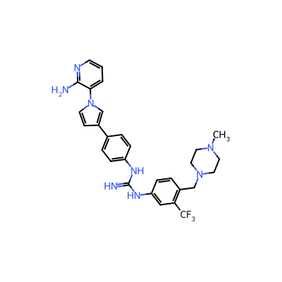 CN1CCN(Cc2ccc(NC(=N)Nc3ccc(-c4ccn(-c5cccnc5N)c4)cc3)cc2C(F)(F)F)CC1